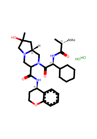 CN[C@@H](C)C(=O)N[C@H](C(=O)N1C[C@H]2CC(C)(O)CN2CC1C(=O)N[C@@H]1CCOc2ccccc21)C1CCCCC1.Cl.Cl